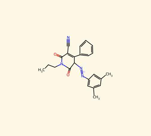 CCCN1C(=O)C(C#N)=C(c2ccccc2)C(/N=N/c2cc(C)cc(C)c2)C1=O